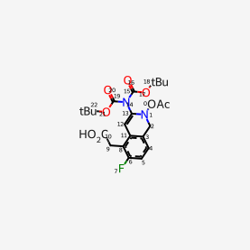 CC(=O)ON1Cc2ccc(F)c(CC(=O)O)c2C=C1N(C(=O)OC(C)(C)C)C(=O)OC(C)(C)C